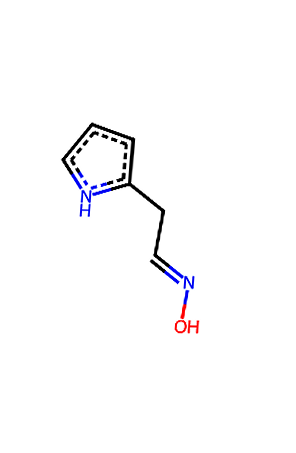 ON=CCc1ccc[nH]1